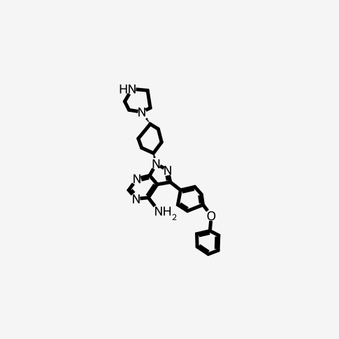 Nc1ncnc2c1c(-c1ccc(Oc3ccccc3)cc1)nn2[C@H]1CC[C@@H](N2CCNCC2)CC1